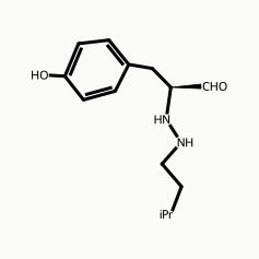 CC(C)CCNN[C@H](C=O)Cc1ccc(O)cc1